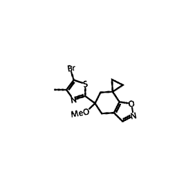 COC1(c2nc(C)c(Br)s2)Cc2cnoc2C2(CC2)C1